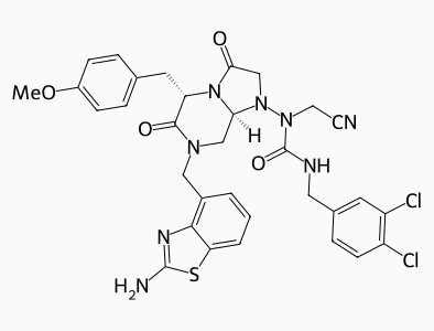 COc1ccc(C[C@H]2C(=O)N(Cc3cccc4sc(N)nc34)C[C@H]3N2C(=O)CN3N(CC#N)C(=O)NCc2ccc(Cl)c(Cl)c2)cc1